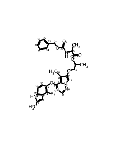 Cc1cc2c(F)c(Oc3ncnn4cc(OCC(C)OC(=O)C(C)NC(=O)OCc5ccccc5)c(C)c34)ccc2[nH]1